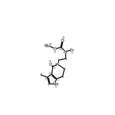 CCN(CCN1CCc2[nH]cc(C)c2C1=O)C(=O)OC(C)(C)C